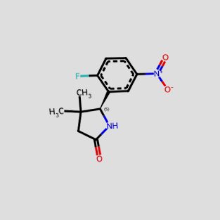 CC1(C)CC(=O)N[C@@H]1c1cc([N+](=O)[O-])ccc1F